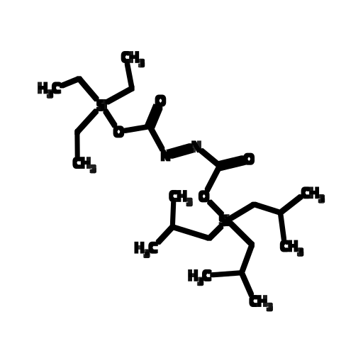 CC[Si](CC)(CC)OC(=O)N=NC(=O)O[Si](CC(C)C)(CC(C)C)CC(C)C